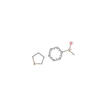 C1CCSC1.C[S+]([O-])c1ccccc1